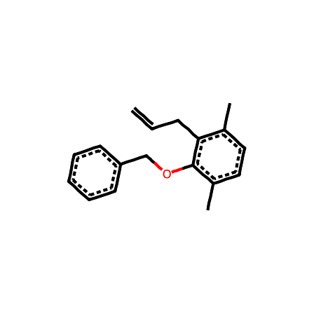 C=CCc1c(C)ccc(C)c1OCc1ccccc1